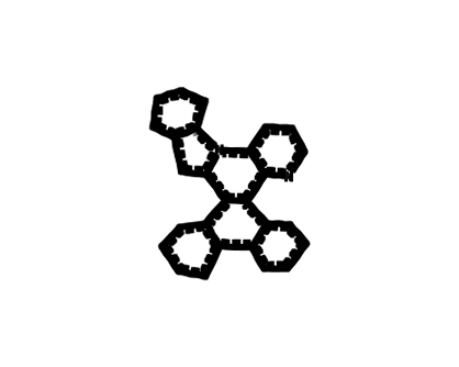 c1ccc2c(c1)cc1c3c4ccccc4c4ccccc4c3c3ncccc3n21